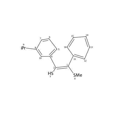 CS/C(=C(\S)c1cccc(C(C)C)c1)c1ccccc1